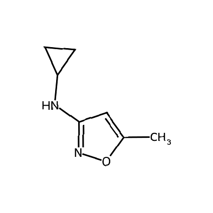 Cc1cc(NC2CC2)no1